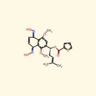 COc1cc([C@H](CC=C(C)C)OC(=O)c2cccs2)c(OC)c2c1C(=NO)C=CC2=NO